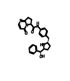 O=C(Nc1ccc(C[C@@H]2CCC([C@H](O)c3ccccc3)N2)cc1)C1CCc2nccc(=O)n21